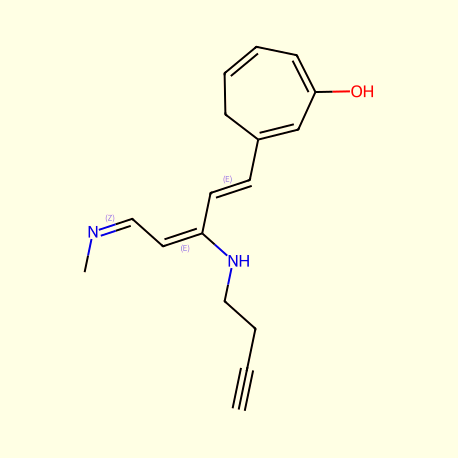 C#CCCNC(/C=C/C1=CC(O)=CC=CC1)=C/C=N\C